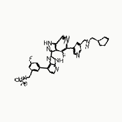 CS(=O)(=O)NCc1cc(F)cc(-c2ccnc3[nH]c(-c4n[nH]c5cnc(-c6cncc(CNCC7CCCC7)c6)c(F)c45)nc23)c1